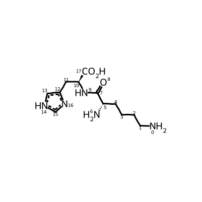 NCCCC[C@H](N)C(=O)N[C@@H](Cc1c[nH]cn1)C(=O)O